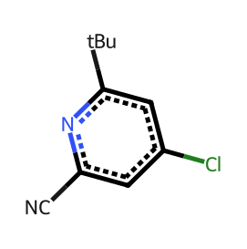 CC(C)(C)c1cc(Cl)cc(C#N)n1